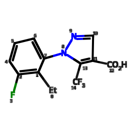 CCc1c(F)cccc1-n1ncc(C(=O)O)c1C(F)(F)F